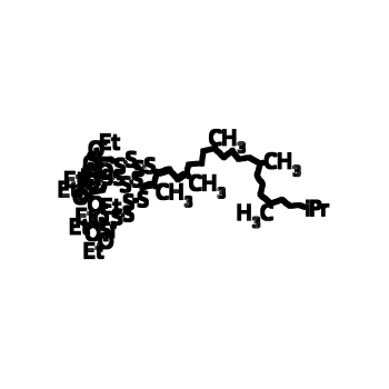 CCO[Si](CSSSSC(=CC=C(C)CCCC(C)CCCCC(C)CCCC(C)CCCC(C)C)C(C)=C(SSSSC[Si](OCC)(OCC)OCC)SSSSC[Si](OCC)(OCC)OCC)(OCC)OCC